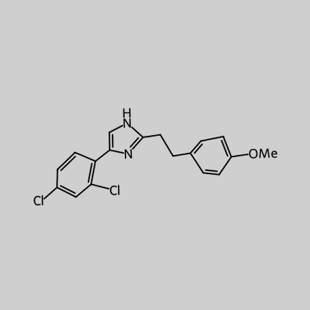 COc1ccc(CCc2nc(-c3ccc(Cl)cc3Cl)c[nH]2)cc1